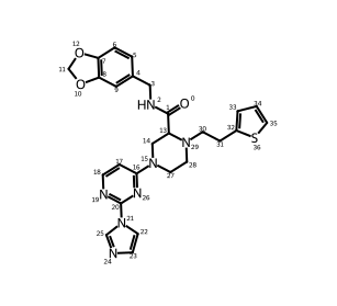 O=C(NCc1ccc2c(c1)OCO2)C1CN(c2ccnc(-n3ccnc3)n2)CCN1CCc1cccs1